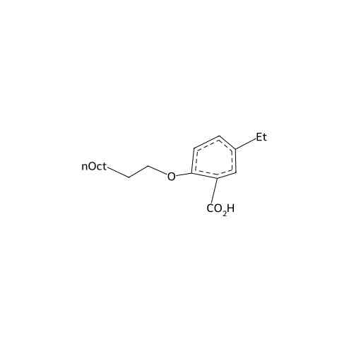 CCCCCCCCCCOc1ccc(CC)cc1C(=O)O